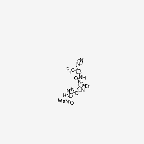 CC[C@H]1CN(C(=O)Nc2ccc(CN3CCN(C)CC3)c(C(F)(F)F)c2)Cc2cc(Oc3ncnc4[nH]c(C(=O)NC)cc34)cnc21